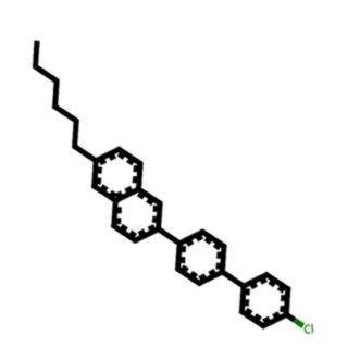 CCCCCCc1ccc2cc(-c3ccc(-c4ccc(Cl)cc4)cc3)ccc2c1